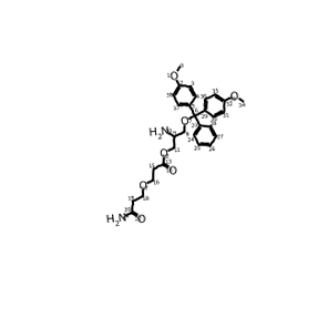 COc1ccc(C(OCC(N)COC(=O)CCOCCC(N)=O)(c2ccccc2)c2ccc(OC)cc2)cc1